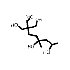 CC(O)CC(C)(O)CCC(CO)(CO)CO